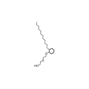 CCCCCCCCCCCCc1ccccc1OCCOCCO